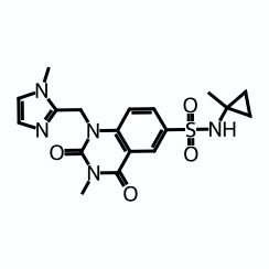 Cn1ccnc1Cn1c(=O)n(C)c(=O)c2cc(S(=O)(=O)NC3(C)CC3)ccc21